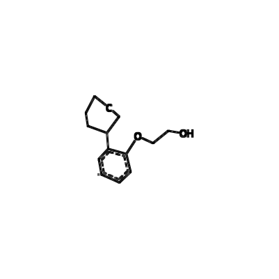 OCCOc1cc[c]cc1C1CCCCC1